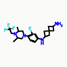 CC1CN(c2ccc(NC3CC4(CC(N)C4)C3)cc2F)CC(C)N1CC(F)(F)F